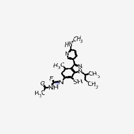 CCC(C)n1nc(-c2ccc(NC)nc2)c2c1C(S)=C(/N=C(\F)NC(C)=O)CC2C